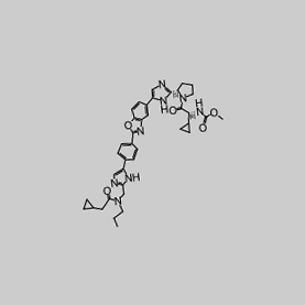 CCCN(Cc1ncc(-c2ccc(-c3nc4cc(-c5cnc([C@@H]6CCCN6C(=O)[C@H](NC(=O)OC)C6CC6)[nH]5)ccc4o3)cc2)[nH]1)C(=O)CC1CC1